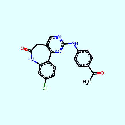 CC(=O)c1ccc(Nc2ncc3c(n2)-c2ccc(Cl)cc2NC(=O)C3)cc1